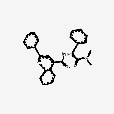 CN(C)C(=O)[C@H](NC(=O)c1cc(-c2ccccc2)nc2ccccc12)c1ccccc1